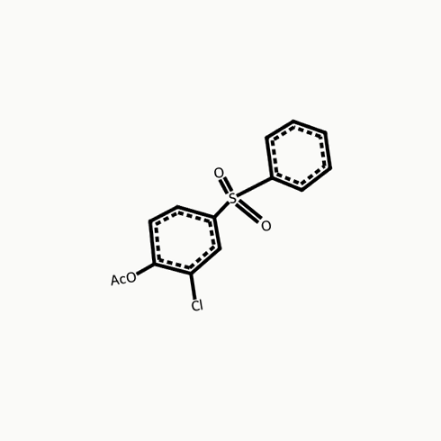 CC(=O)Oc1ccc(S(=O)(=O)c2ccccc2)cc1Cl